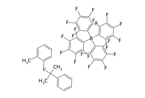 Cc1ccccc1[I+]C(C)(C)c1ccccc1.Fc1c(F)c(F)c([B-](c2c(F)c(F)c(F)c(F)c2F)(c2c(F)c(F)c(F)c(F)c2F)c2c(F)c(F)c(F)c(F)c2F)c(F)c1F